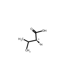 [2H][C@H](C(=O)O)C(C)C